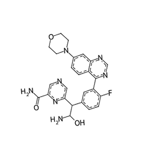 NC(=O)c1cncc(C(c2ccc(F)c(-c3ncnc4cc(N5CCOCC5)ccc34)c2)C(N)O)n1